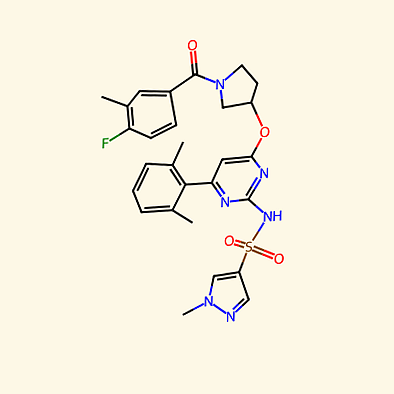 Cc1cc(C(=O)N2CCC(Oc3cc(-c4c(C)cccc4C)nc(NS(=O)(=O)c4cnn(C)c4)n3)C2)ccc1F